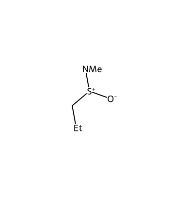 CCC[S+]([O-])NC